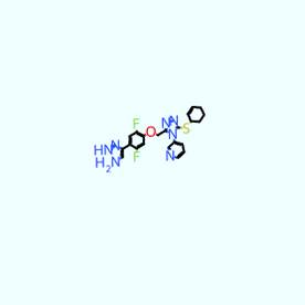 N=N/C(=C\N)c1cc(F)c(OCc2nnc(SC3C=CCCC3)n2-c2cccnc2)cc1F